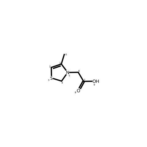 CC1=CSCN1CC(=O)O